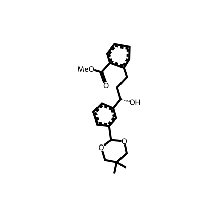 COC(=O)c1ccccc1CC[C@H](O)c1cccc(C2OCC(C)(C)CO2)c1